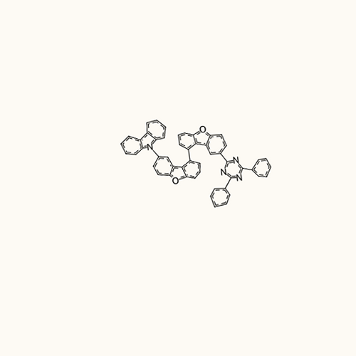 c1ccc(-c2nc(-c3ccccc3)nc(-c3ccc4oc5cccc(-c6cccc7oc8ccc(-n9c%10ccccc%10c%10ccccc%109)cc8c67)c5c4c3)n2)cc1